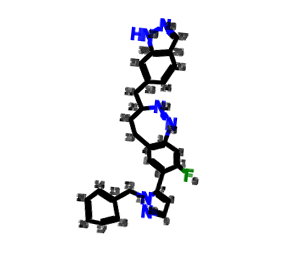 Fc1cc2c(cc1-c1ccnn1Cc1ccccc1)CCC(Cc1ccc3cn[nH]c3c1)N=N2